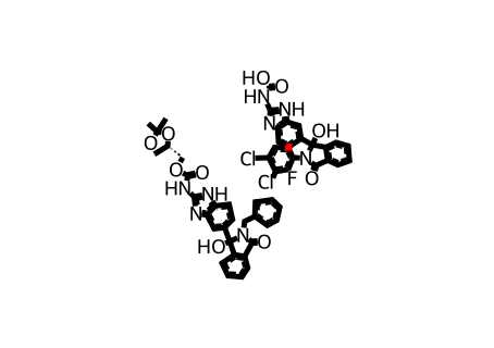 CC1(C)OC[C@@H](COC(=O)Nc2nc3cc(C4(O)c5ccccc5C(=O)N4Cc4ccccc4)ccc3[nH]2)O1.O=C(O)Nc1nc2ccc(C3(O)c4ccccc4C(=O)N3c3ccc(Cl)c(Cl)c3F)cc2[nH]1